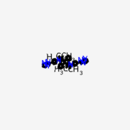 Cc1c(C)n(-c2ccc(-c3cn4c(n3)N=CCC4)cc2)c2c3ccccc3c3c4c(C)c(C)n(-c5ccc(-c6cn7cccnc7n6)cc5)c4c4ccccc4c3c12